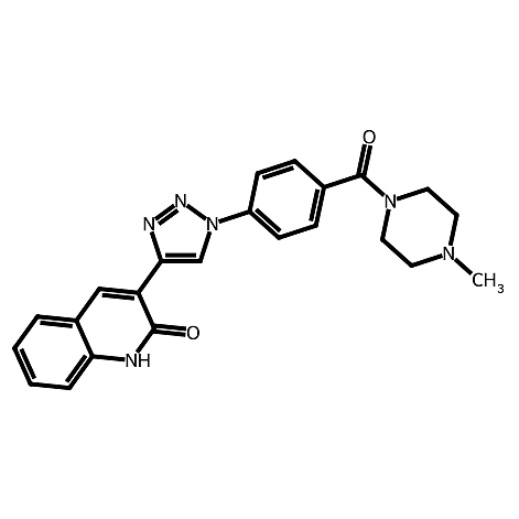 CN1CCN(C(=O)c2ccc(-n3cc(-c4cc5ccccc5[nH]c4=O)nn3)cc2)CC1